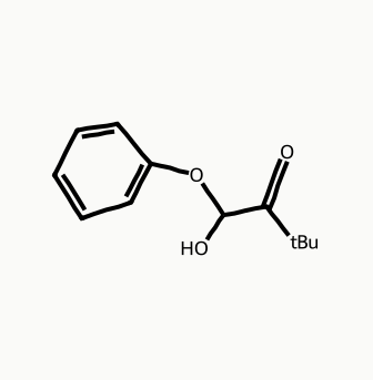 CC(C)(C)C(=O)C(O)Oc1ccccc1